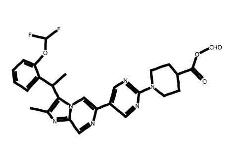 Cc1nc2cnc(-c3cnc(N4CCC(C(=O)OC=O)CC4)nc3)cn2c1C(C)c1ccccc1OC(F)F